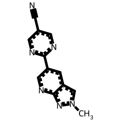 Cn1cc2cc(-c3ncc(C#N)cn3)cnc2n1